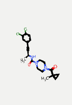 CC(C#Cc1ccc(Cl)c(Cl)c1)NC(=O)N1CCN(C(=O)C2(C)CC2)CC1